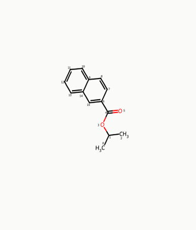 CC(C)OC(=O)c1ccc2ccccc2c1